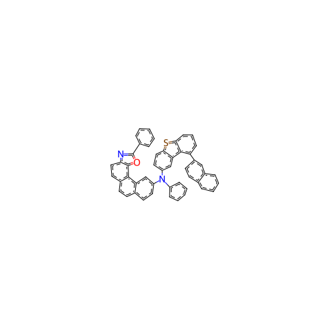 c1ccc(-c2nc3ccc4ccc5ccc(N(c6ccccc6)c6ccc7sc8cccc(-c9ccc%10ccccc%10c9)c8c7c6)cc5c4c3o2)cc1